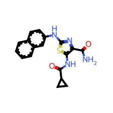 NC(=O)c1nc(Nc2ccc3ccccc3c2)sc1NC(=O)C1CC1